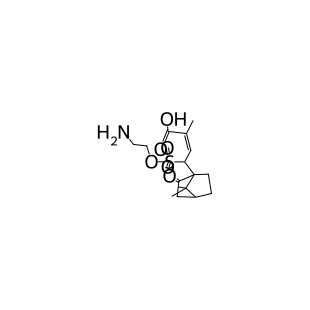 CC(=CC(C12CCC(CC1=O)C2(C)C)S(=O)(=O)OCCN)C(=O)O